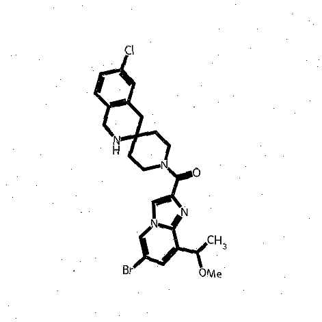 COC(C)c1cc(Br)cn2cc(C(=O)N3CCC4(CC3)Cc3cc(Cl)ccc3CN4)nc12